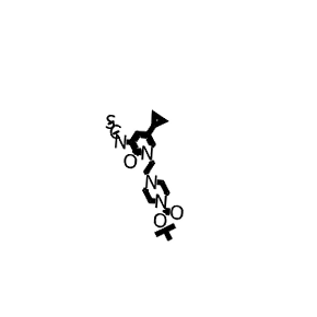 CC(C)(C)OC(=O)N1CCN(CCn2cc(C3CC3)cc(N=C=S)c2=O)CC1